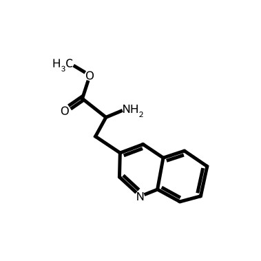 COC(=O)C(N)Cc1cnc2ccccc2c1